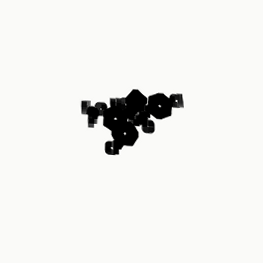 O=C1N(c2ccc(Cl)cc2)C2(CCC2)C(O)(c2cccc(OC(F)F)c2)N1c1ccc(Cl)cc1